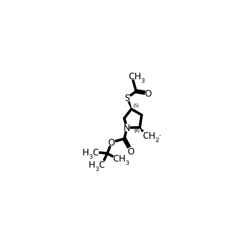 [CH2][C@@H]1C[C@H](SC(C)=O)CN1C(=O)OC(C)(C)C